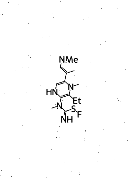 CCC1=C(N(C)C(=N)SF)NC=C(/C(C)=C/NC)N1C